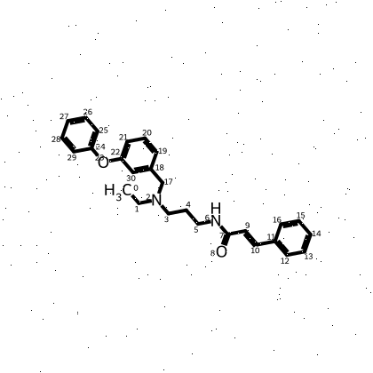 CCN(CCCNC(=O)C=Cc1ccccc1)Cc1cccc(Oc2ccccc2)c1